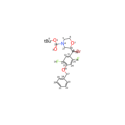 CC(C)(C)OC(=O)N1CCOC([C@@H](Br)c2cc(F)c(OCc3ccccc3)cc2F)C1